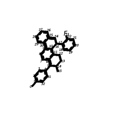 Cc1ccc(C2=c3ccc4c(c3CCC2C)C(c2ccccc2F)C=c2ccccc2=4)cc1